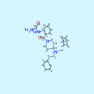 CN(CCc1ccccc1)C1CCN(C(=O)c2ccccc2NC(N)=O)CC1.c1cc2ccc1-2